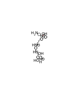 N[C@H]1CC[C@H](N(C(=O)O)c2cc(CCCC(=O)Nc3ccc(CNC[C@H](O)c4ccc(O)c5[nH]c(=O)ccc45)cc3)ccc2-c2ccccc2)CC1